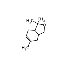 CC1=CCC2C(COC2(C)C)C1